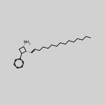 CCCCCCCCCCCCC/C=C/[C@@H]1C(c2ccccc2)C[C@@H]1N